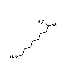 CCN(C)CCCCCCCN